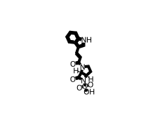 O=C(C=Cc1c[nH]c2ccccc12)N1CC[C@@H]2[C@H]1C(=O)N2S(=O)(=O)O